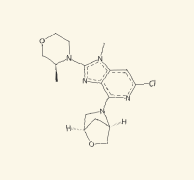 C[C@H]1COCCN1c1nc2c(N3C[C@H]4C[C@@H]3CO4)nc(Cl)cc2n1C